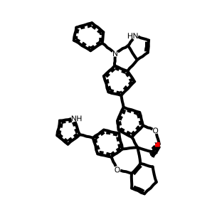 C1=CC2=C(CC1)C1(c3ccc(-c4ccc[nH]4)cc3O2)c2ccccc2Oc2cc(-c3ccc4c(c3)C3C=CNC3N4c3ccccc3)ccc21